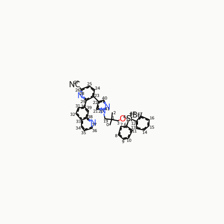 CC(C)(CO[Si](c1ccccc1)(c1ccccc1)C(C)(C)C)Cn1cc(-c2ccc(C#N)nc2-c2ccc3cccnc3c2)cn1